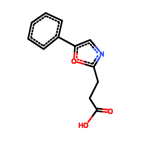 O=C(O)CCc1ncc(-c2ccccc2)o1